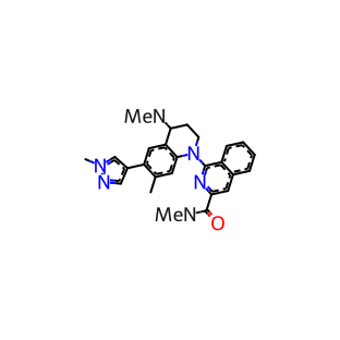 CNC(=O)c1cc2ccccc2c(N2CCC(NC)c3cc(-c4cnn(C)c4)c(C)cc32)n1